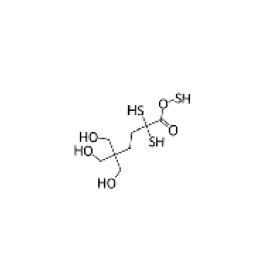 O=C(OS)C(S)(S)CCC(CO)(CO)CO